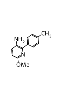 COc1ccc(N)c(-c2ccc(C)cc2)n1